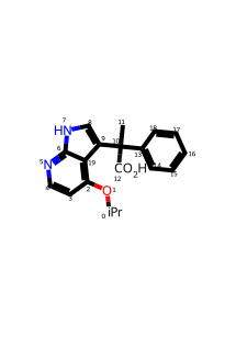 CC(C)Oc1ccnc2[nH]cc(C(C)(C(=O)O)c3ccccc3)c12